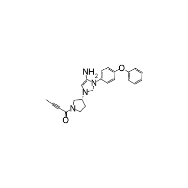 CC#CC(=O)N1CC[C@@H](N2C=C(N)N(c3ccc(Oc4ccccc4)cc3)C2)C1